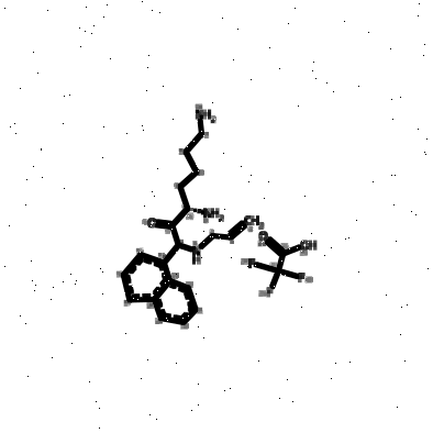 C=CCNC(C(=O)[C@@H](N)CCCCN)c1cccc2ccccc12.O=C(O)C(F)(F)F